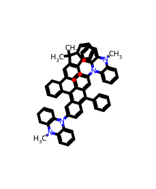 CN1C2=C(C=CCC2)N(c2ccc3c(-c4ccccc4)c4cc(N5c6ccccc6N(C)c6ccccc65)ccc4c(C4=CC=CCC4c4ccc5c(c4)C(C)(C)C4C=CC=CC54)c3c2)c2ccccc21